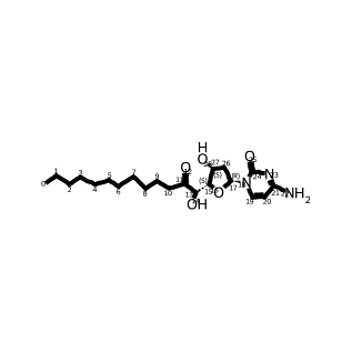 CCCCCCCCCCCC(=O)C(O)[C@H]1O[C@@H](n2ccc(N)nc2=O)C[C@@H]1O